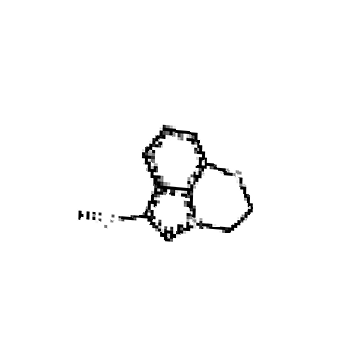 CCOC(=O)c1cn2c3c(cccc13)SCC2